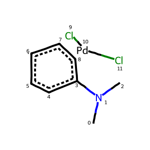 CN(C)c1cc[c]cc1.[Cl][Pd][Cl]